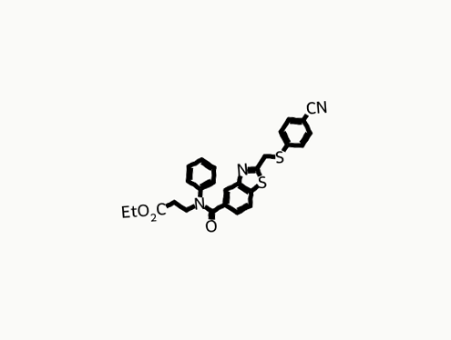 CCOC(=O)CCN(C(=O)c1ccc2sc(CSc3ccc(C#N)cc3)nc2c1)c1ccccc1